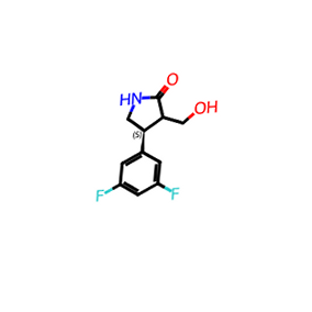 O=C1NC[C@H](c2cc(F)cc(F)c2)C1CO